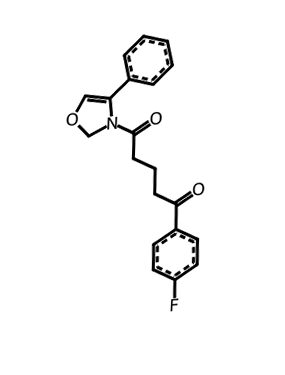 O=C(CCCC(=O)N1COC=C1c1ccccc1)c1ccc(F)cc1